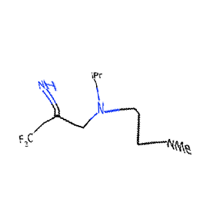 CNCCN(CC(=N)C(F)(F)F)C(C)C